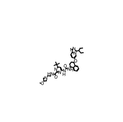 CCC(CC)c1nnc2ccc(O[C@@H]3CC[C@H](NC(=O)Nc4cc(C(C)(C)C)nc(C(=O)NCCN5CC(OC)C5)n4)c4ccccc43)cn12